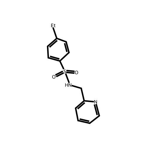 CCc1ccc(S(=O)(=O)NCc2ccccn2)cc1